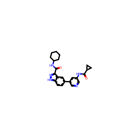 O=C(NC1CCCCC1)c1n[nH]c2ccc(-c3cncc(NC(=O)C4CC4)c3)cc12